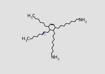 CCCCC/C=C/CC1C(CCCCCC)C=CC(CCCCCCCCN)C1CCCCCCCCN